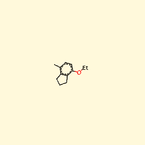 CCOc1ccc(C)c2c1CCC2